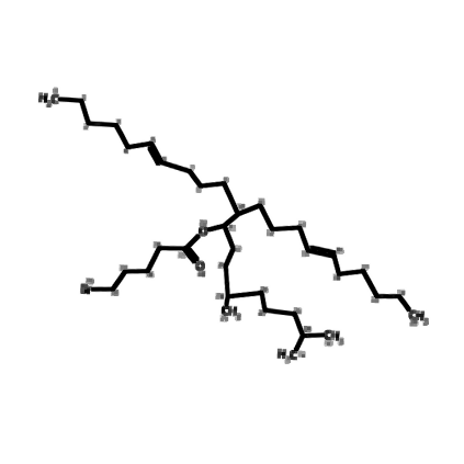 CCCCCC=CCCCC(CCCC=CCCCCC)C(CCC(C)CCCC(C)C)OC(=O)CCCCBr